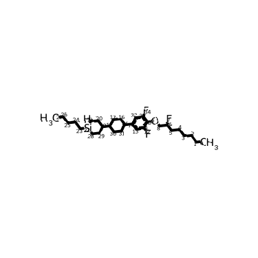 CCCCCCC(F)COc1c(F)cc(C2CCC(C3CC[SiH](CCCCC)CC3)CC2)cc1F